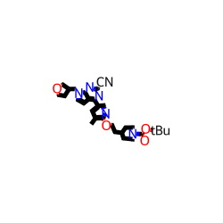 Cc1cc(-c2nc(C#N)nc3c2ccn3CC2CCOC2)cnc1OCCC1CCN(C(=O)OC(C)(C)C)CC1